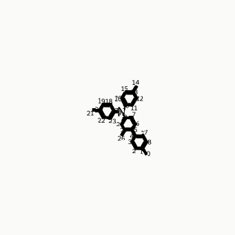 Cc1ccc(-c2ccc(N(c3ccc(C)cc3)c3ccc(C)cc3)cc2C)cc1